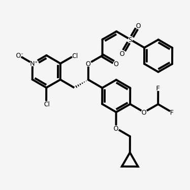 O=C(/C=C\S(=O)(=O)c1ccccc1)O[C@@H](Cc1c(Cl)c[n+]([O-])cc1Cl)c1ccc(OC(F)F)c(OCC2CC2)c1